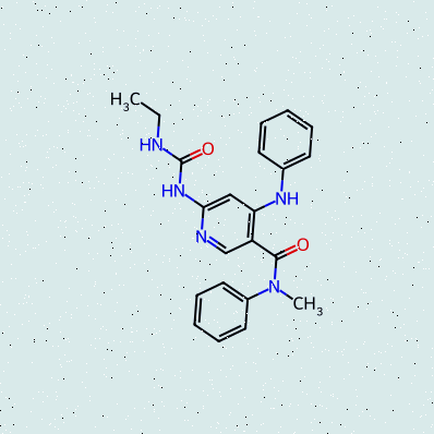 CCNC(=O)Nc1cc(Nc2ccccc2)c(C(=O)N(C)c2ccccc2)cn1